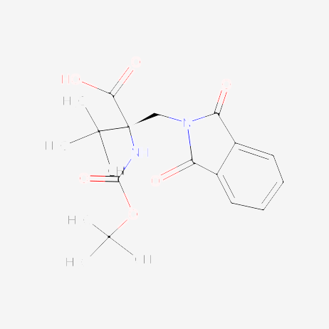 CC(C)(C)OC(=O)N[C@@](CN1C(=O)c2ccccc2C1=O)(C(=O)O)C(C)(C)C